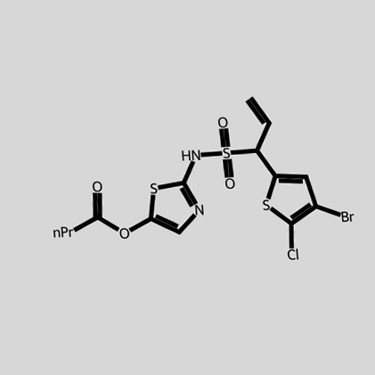 C=CC(c1cc(Br)c(Cl)s1)S(=O)(=O)Nc1ncc(OC(=O)CCC)s1